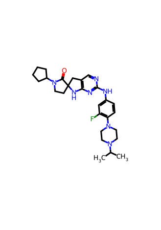 CC(C)N1CCN(c2ccc(Nc3ncc4c(n3)NC3(CCN(C5CCCC5)C3=O)C4)cc2F)CC1